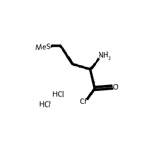 CSCCC(N)C(=O)Cl.Cl.Cl